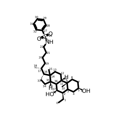 CC[C@@H]1C2C[C@H](O)CC[C@@]2(C)[C@H]2CCC3(C)[C@@H]([C@H](C)CCCCNS(=O)(=O)c4ccccc4)CC[C@H]3C2[C@@H]1O